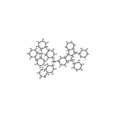 c1ccc(-n2c3ccccc3c3c4cc(N(c5ccc6c(c5)C(c5ccccc5)(c5ccccc5)c5ccccc5-6)c5ccc6ccccc6c5)ccc4n(-c4ccccc4)c32)cc1